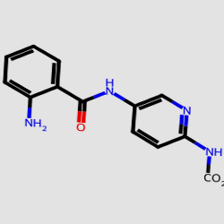 Nc1ccccc1C(=O)Nc1ccc(NC(=O)O)nc1